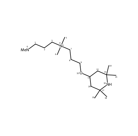 CNCCC[N+](C)(C)CCCOC1CC(C)(C)NC(C)(C)C1